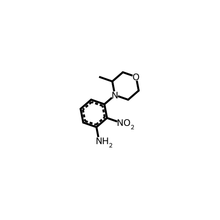 CC1COCCN1c1cccc(N)c1[N+](=O)[O-]